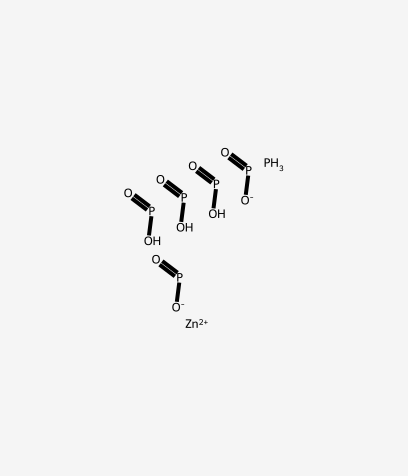 O=PO.O=PO.O=PO.O=P[O-].O=P[O-].P.[Zn+2]